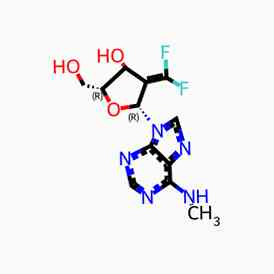 CNc1ncnc2c1ncn2[C@@H]1O[C@H](CO)C(O)C1=C(F)F